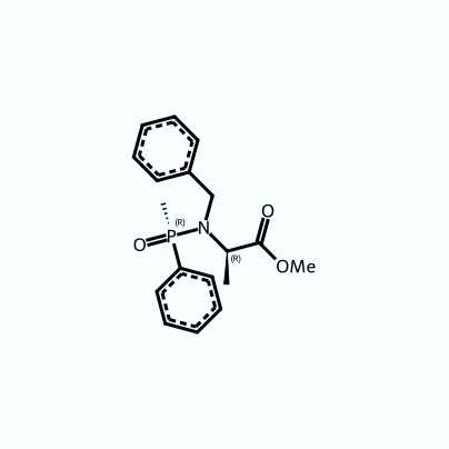 COC(=O)[C@@H](C)N(Cc1ccccc1)[P@](C)(=O)c1ccccc1